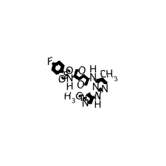 Cc1cnc(Nc2cnn(C)c2)nc1N[C@@H]1COC2C1OC[C@@H]2NS(=O)(=O)c1ccc(F)cc1